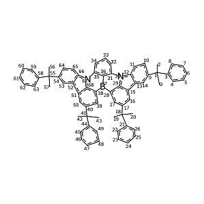 CC(C)(c1ccccc1)c1ccc2c(c1)c1cc(C(C)(C)c3ccccc3)cc3c1n2-c1cccc2c1B3c1cc(C(C)(C)c3ccccc3)cc3c4cc(C(C)(C)c5ccccc5)ccc4n-2c13